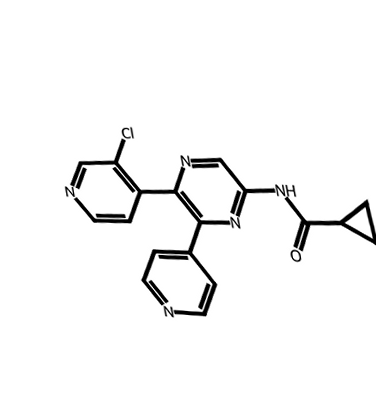 O=C(Nc1cnc(-c2ccncc2Cl)c(-c2ccncc2)n1)C1CC1